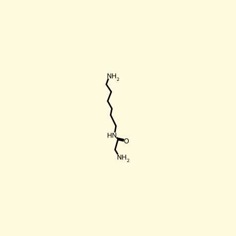 NCCCCCCNC(=O)CN